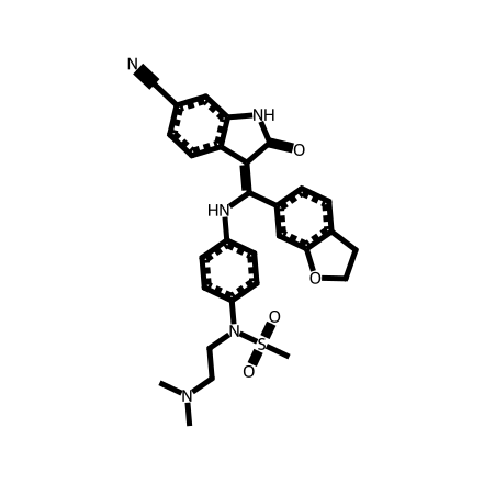 CN(C)CCN(c1ccc(NC(=C2C(=O)Nc3cc(C#N)ccc32)c2ccc3c(c2)OCC3)cc1)S(C)(=O)=O